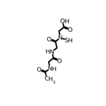 CC(=O)NCC(=O)NCC(=O)N(S)CC(=O)O